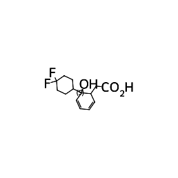 O=C(O)CC1C=CC=C[C@]1(O)C1CCC(F)(F)CC1